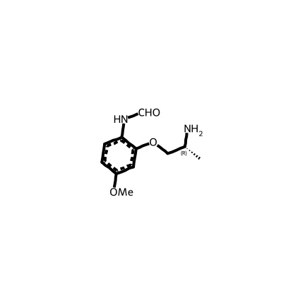 COc1ccc(NC=O)c(OC[C@@H](C)N)c1